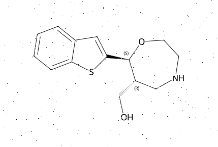 OC[C@H]1CNCCO[C@@H]1c1cc2ccccc2s1